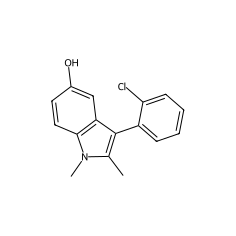 Cc1c(-c2ccccc2Cl)c2cc(O)ccc2n1C